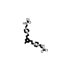 CCC(=O)NCCN1CCN(CCc2cc(C)cc(CCN3CCN(CCNC(=O)CC)CC3)c2)CC1